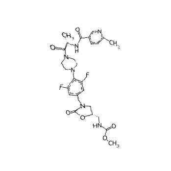 COC(=O)NC[C@H]1CN(c2cc(F)c(N3CCN(C(=O)[C@H](C)NC(=O)c4ccc(C)nc4)CC3)c(F)c2)C(=O)O1